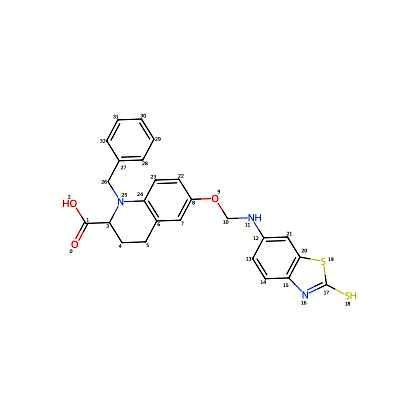 O=C(O)C1CCc2cc(OCNc3ccc4nc(S)sc4c3)ccc2N1Cc1ccccc1